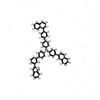 c1cc(-c2ccc(N(c3ccc(-c4ccc(-c5cccc6ccccc56)cc4)cc3)c3ccc(-c4ccc5ccccc5c4)cc3)cc2)cc(-c2cc3ccccc3o2)c1